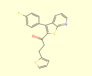 O=C(CCc1cccs1)c1sc2ncccc2c1-c1ccc(F)cc1